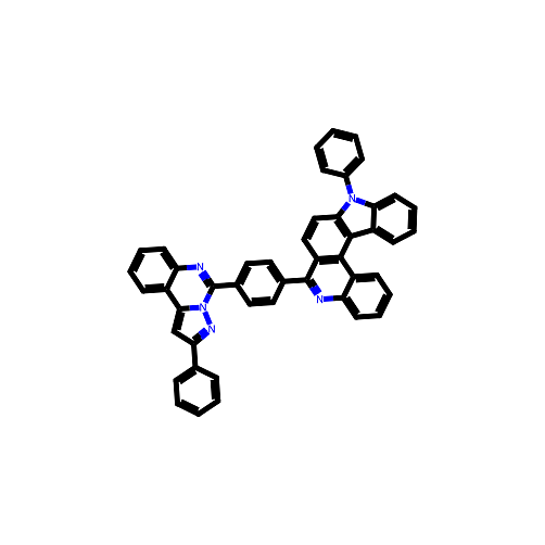 c1ccc(-c2cc3c4ccccc4nc(-c4ccc(-c5nc6ccccc6c6c5ccc5c6c6ccccc6n5-c5ccccc5)cc4)n3n2)cc1